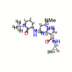 [2H]C([2H])([2H])n1cccc(Nc2cc(NC)n3ncc(C(=O)N[C@H]4C[C@H]4F)c3n2)c1=O